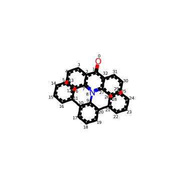 O=c1c2ccccc2n(-c2c(-c3ccccc3)cccc2-c2ccccc2)c2ccccc12